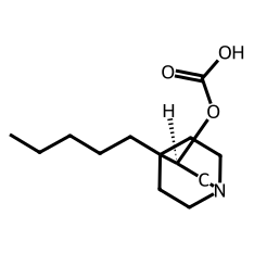 CCCCCC12CCN(CC1)C[C@@H]2OC(=O)O